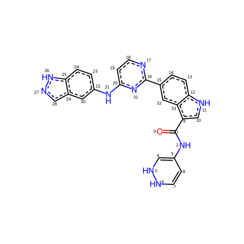 O=C(NC1=CNNC=C1)c1c[nH]c2ccc(-c3nccc(Nc4ccc5[nH]ncc5c4)n3)cc12